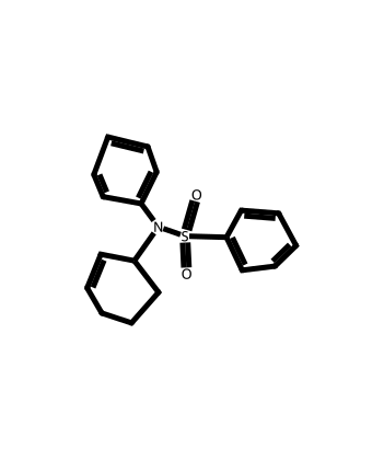 O=S(=O)(c1ccccc1)N(c1ccccc1)C1C=CCCC1